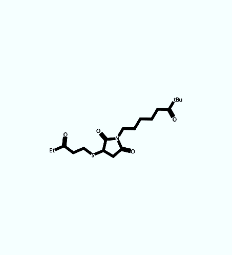 CCC(=O)CCSC1CC(=O)N(CCCCCC(=O)C(C)(C)C)C1=O